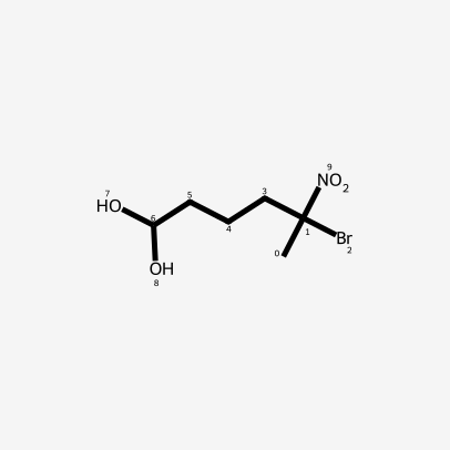 CC(Br)(CCCC(O)O)[N+](=O)[O-]